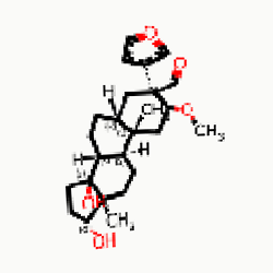 COC1C[C@@]2(C)[C@H](CC[C@@H]3[C@@H]2CC[C@]2(C)[C@H](O)CC[C@]32O)C[C@]1(C=O)c1ccoc1